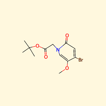 COc1cn(CC(=O)OC(C)(C)C)c(=O)cc1Br